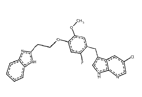 COc1cc(Cc2c[nH]c3ncc(Cl)cc23)c(F)cc1OCCc1nc2ccccc2[nH]1